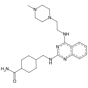 CN1CCN(CCNc2nc(NCC3CCC(C(N)=O)CC3)nc3ccccc23)CC1